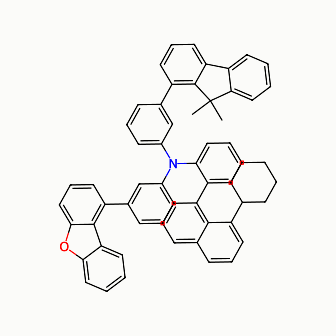 CC1(C)c2ccccc2-c2cccc(-c3cccc(N(c4cccc(-c5cccc6oc7ccccc7c56)c4)c4ccccc4-c4cccc5cccc(C6CCCCC6)c45)c3)c21